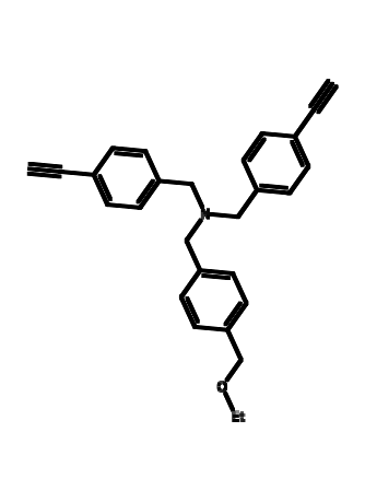 C#Cc1ccc(CN(Cc2ccc(C#C)cc2)Cc2ccc(COCC)cc2)cc1